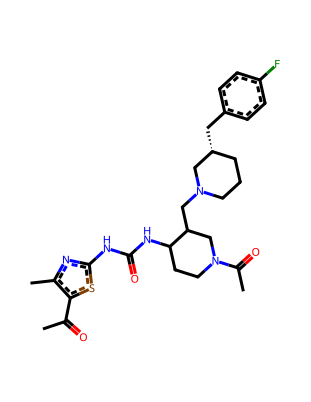 CC(=O)c1sc(NC(=O)NC2CCN(C(C)=O)CC2CN2CCC[C@@H](Cc3ccc(F)cc3)C2)nc1C